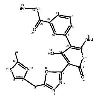 CCCCc1[nH]c(=O)c(-c2nnc(Cc3csc(C)n3)o2)c(O)c1-c1cccc(C(=O)NC(C)C)c1